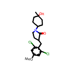 COc1cc(Cl)c(CC2CCN(C3CCC(C)(O)CC3)C2=O)c(Cl)c1